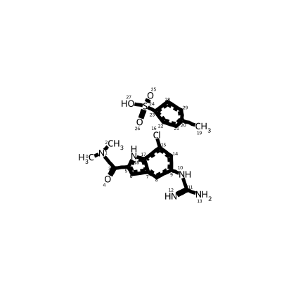 CN(C)C(=O)c1cc2cc(NC(=N)N)cc(Cl)c2[nH]1.Cc1ccc(S(=O)(=O)O)cc1